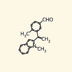 C=C(c1cc(C=O)ccc1C)c1cc2ccccc2n1C